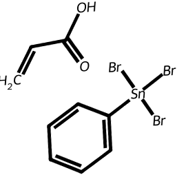 C=CC(=O)O.[Br][Sn]([Br])([Br])[c]1ccccc1